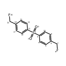 O=S(=O)(c1ccc(CF)cc1)c1ccc(CF)cc1